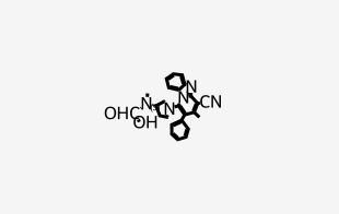 Cc1c(-c2ccccc2)c(N2CC[C@H](N(C)C)C2)n2c(nc3ccccc32)c1C#N.O=CO